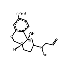 C=CCN(C(C)=O)C1CC[C@@H]2COc3cc(CCCCC)ccc3[C@]2(O)C1